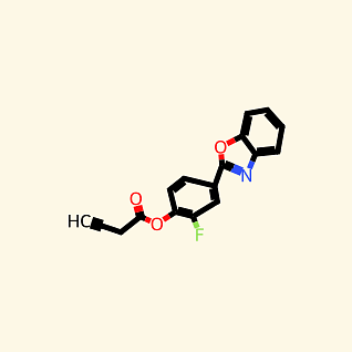 C#CCC(=O)Oc1ccc(-c2nc3ccccc3o2)cc1F